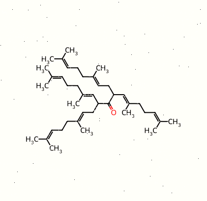 CC(C)=CCC/C(C)=C/CC(/C=C(\C)CCC=C(C)C)C(=O)C(/C=C(\C)CCC=C(C)C)C/C=C(\C)CCC=C(C)C